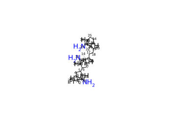 CC(C)[C@@]1(C)[C@H]2CC(C3C[C@@H]4C[C@H]3[C@H](N)[C@@]4(C)C(C)CCC(C)[C@]3(C)[C@H]4CC[C@H](C4)[C@H]3N)[C@H](C2)[C@H]1N